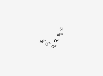 [Al+3].[Al+3].[O-2].[O-2].[O-2].[Si]